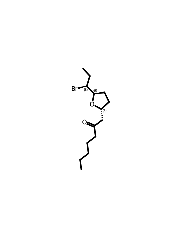 CCCCCC(=O)C[C@H]1CC[C@H]([C@@H](Br)CC)O1